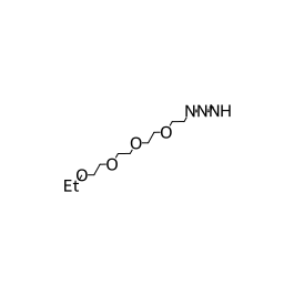 CCOCCOCCOCCOCCN=[N+]=N